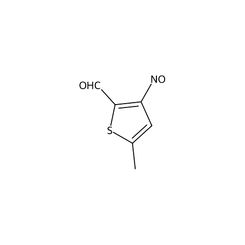 Cc1cc(N=O)c(C=O)s1